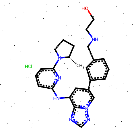 C[C@H]1CCCN1c1cccc(Nc2cc(-c3cccc(CNCCO)c3)cn3ncnc23)n1.Cl